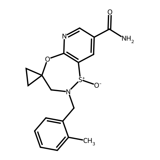 Cc1ccccc1CN1CC2(CC2)Oc2ncc(C(N)=O)cc2[S+]1[O-]